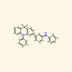 CC1(C)c2ccccc2N(c2ccccc2)c2cc(-c3cccc(Nc4ccccc4)c3)ccc21